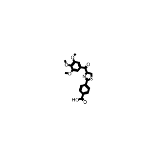 COc1cc(C(=O)C2CSC(c3ccc(C(=O)O)cc3)=N2)cc(OC)c1OC